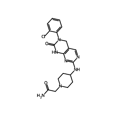 NC(=O)CN1CCC(Nc2ncc3c(n2)NC(=O)N(c2ccccc2Cl)C3)CC1